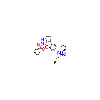 C#CCCc1nc2ccccc2n1Cc1ccc(-c2ccccc2C(=O)NS(=O)(=O)c2ccccc2)cc1